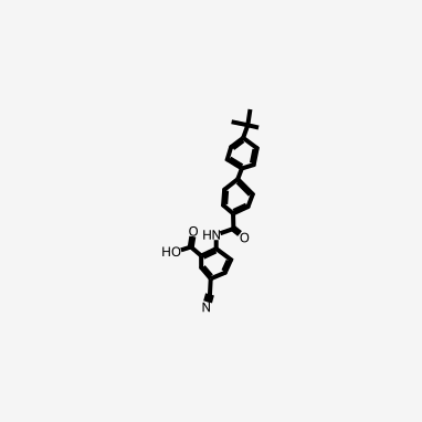 CC(C)(C)c1ccc(-c2ccc(C(=O)Nc3ccc(C#N)cc3C(=O)O)cc2)cc1